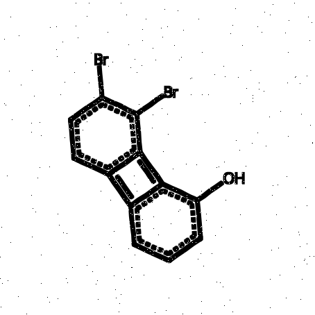 Oc1cccc2c1=c1c(Br)c(Br)ccc1=2